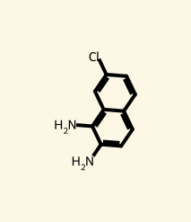 Nc1ccc2ccc(Cl)cc2c1N